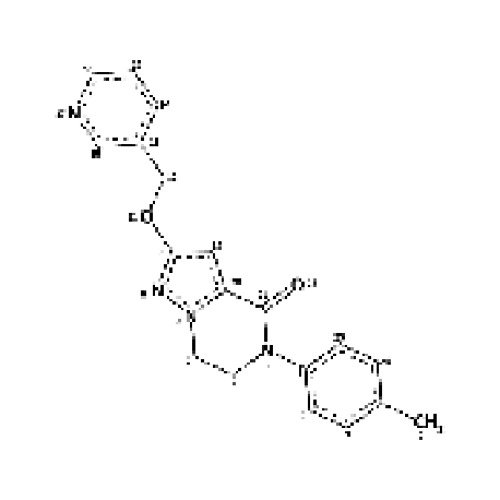 Cc1ccc(N2CCn3nc(OCc4cccnc4)cc3C2=O)cc1